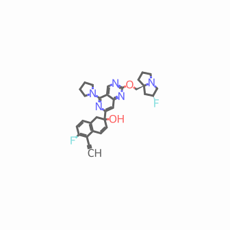 C#Cc1c(F)ccc2c1C=CC(O)(c1cc3nc(OC[C@@]45CCCN4C[C@H](F)C5)ncc3c(N3CCCC3)n1)C2